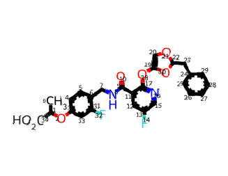 CC(Oc1ccc(CNC(=O)c2cc(F)cnc2OC2=COC(Cc3ccccc3)O2)c(F)c1)C(=O)O